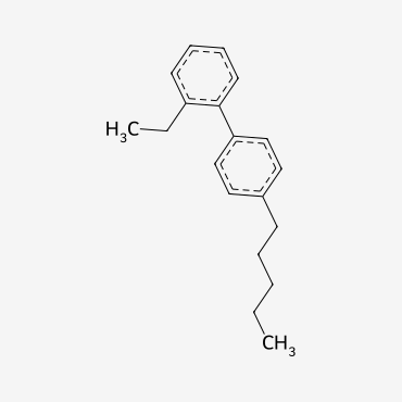 CCCCCc1ccc(-c2ccccc2CC)cc1